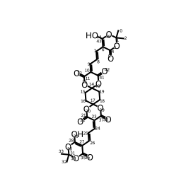 CC1(C)OC(=O)C(/C=C/C=C2C(=O)OC3(CCC4(CC3)OC(=O)C(=C/C=C/C3=C(O)OC(C)(C)OC3=O)C(=O)O4)OC2=O)=C(O)O1